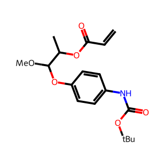 C=CC(=O)OC(C)C(OC)Oc1ccc(NC(=O)OC(C)(C)C)cc1